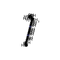 CCC(OC1OC(C)C(O)C(O)C1O)C(C)C(=O)CC(O)CC(O)CC(O)/C=C/CC(O)CC(O)CC(O)CC(O)/C=C/CC(O)CC(O)CCCNC(=O)C1CCCN1